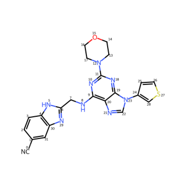 N#Cc1ccc2[nH]c(CNc3nc(N4CCOCC4)nc4c3ncn4-c3ccsc3)nc2c1